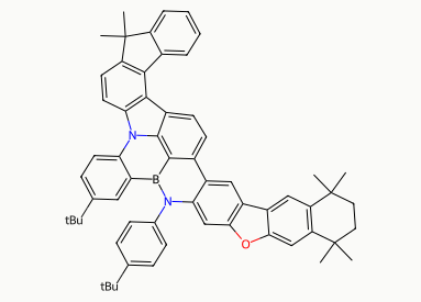 CC(C)(C)c1ccc(N2B3c4cc(C(C)(C)C)ccc4-n4c5ccc6c(c5c5ccc(c3c54)-c3cc4c(cc32)oc2cc3c(cc24)C(C)(C)CCC3(C)C)-c2ccccc2C6(C)C)cc1